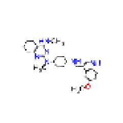 CNc1nc(N(C)[C@H]2CC[C@@H](NCc3c[nH]c4ccc(OC)cc34)CC2)nc2c1CCCC2